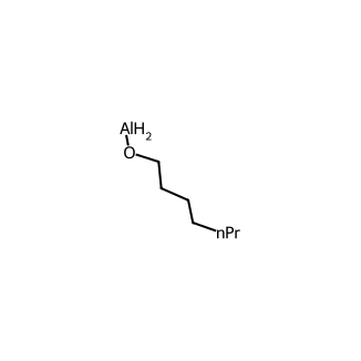 CCCCCCC[O][AlH2]